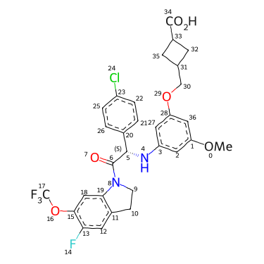 COc1cc(N[C@H](C(=O)N2CCc3cc(F)c(OC(F)(F)F)cc32)c2ccc(Cl)cc2)cc(OCC2CC(C(=O)O)C2)c1